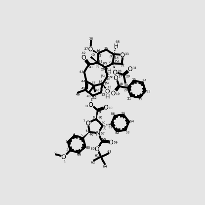 COc1ccc([C@H]2O[C@@H](C(=O)O[C@H]3C[C@@]4(O)[C@@H](OC(=O)c5ccccc5)[C@@H]5[C@]6(OC(C)=O)CO[C@@H]6C[C@H](OC)[C@@]5(C)C(=O)CC(=C3C)C4(C)C)[C@H](c3ccccc3)N2C(=O)OC(C)(C)C)cc1